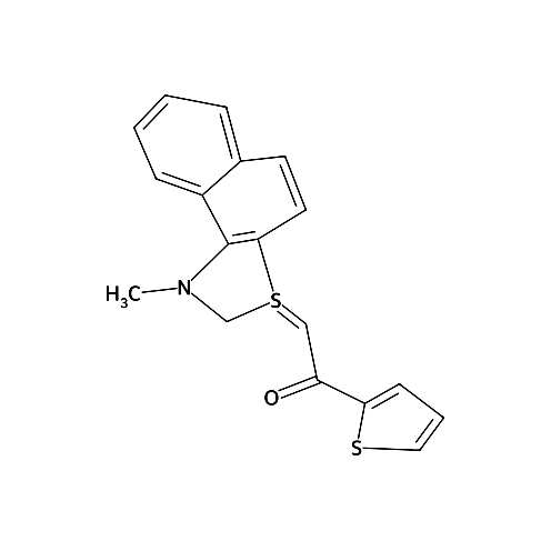 CN1CS(=CC(=O)c2cccs2)c2ccc3ccccc3c21